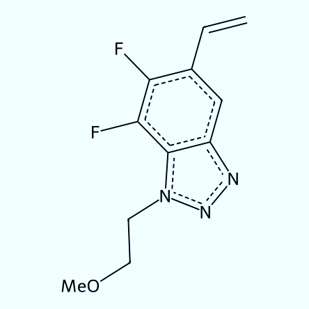 C=Cc1cc2nnn(CCOC)c2c(F)c1F